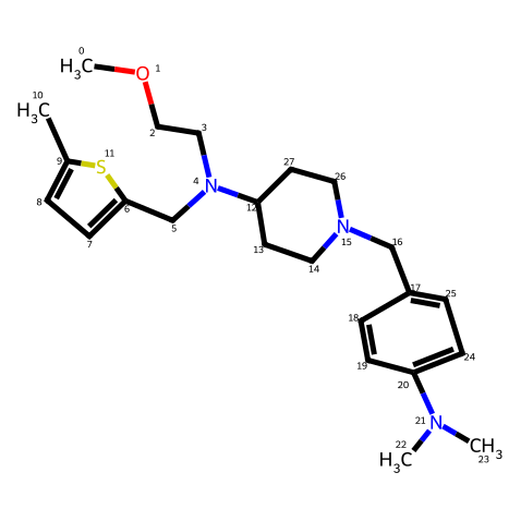 COCCN(Cc1ccc(C)s1)C1CCN(Cc2ccc(N(C)C)cc2)CC1